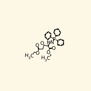 CCOC(=O)CC(=O)C(=NN=P(c1ccccc1)(c1ccccc1)c1ccccc1)C(=O)OCC